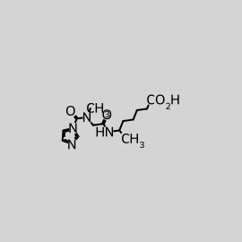 CC(CCCCC(=O)O)NC(=O)CN(C)C(=O)n1ccnc1